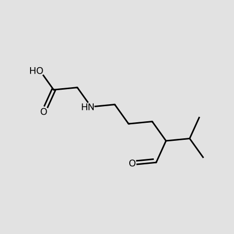 CC(C)C(C=O)CCCNCC(=O)O